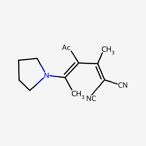 CC(=O)/C(C(C)=C(C#N)C#N)=C(/C)N1CCCC1